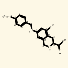 CCCCCc1ccc(COc2cc(F)c3c(c2)COC(C(F)F)C3)cc1